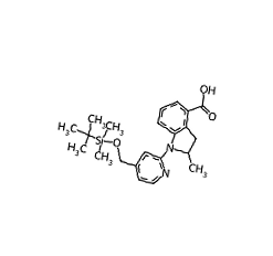 CC1Cc2c(C(=O)O)cccc2N1c1cc(CO[Si](C)(C)C(C)(C)C)ccn1